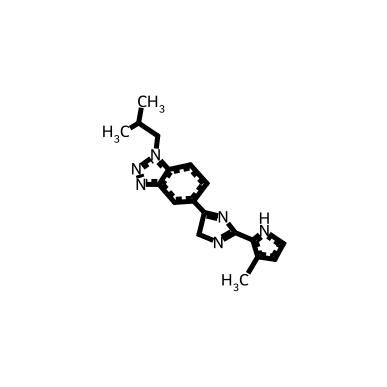 Cc1cc[nH]c1C1=NCC(c2ccc3c(c2)nnn3CC(C)C)=N1